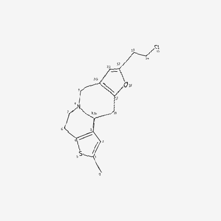 Cc1cc2c(s1)CCN1Cc3cc(CCCl)oc3CC21